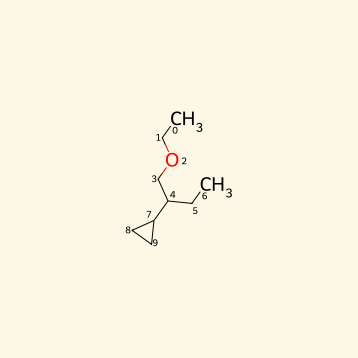 CCOCC(CC)C1CC1